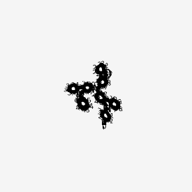 Fc1ccc(-n2c3ccccc3c3cc(N(c4ccc5oc6ccccc6c5c4)c4ccc5c6ccccc6n(-c6ccccc6)c5c4)ccc32)cc1